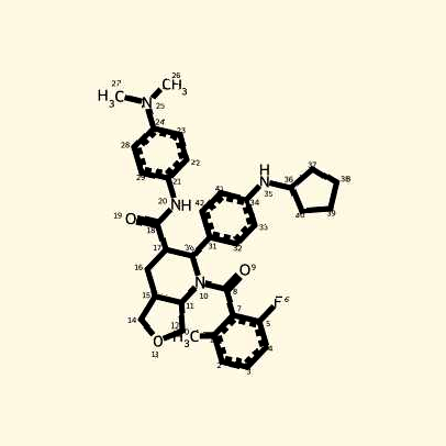 Cc1cccc(F)c1C(=O)N1C2COCC2CC(C(=O)Nc2ccc(N(C)C)cc2)C1c1ccc(NC2CCCC2)cc1